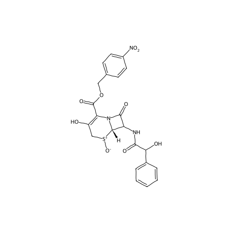 O=C(OCc1ccc([N+](=O)[O-])cc1)C1=C(O)C[S+]([O-])[C@H]2C(NC(=O)C(O)c3ccccc3)C(=O)N12